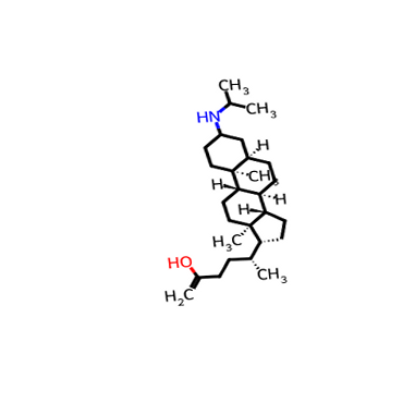 C=C(O)CC[C@@H](C)[C@H]1CC[C@H]2[C@@H]3CC[C@@H]4CC(NC(C)C)CC[C@]4(C)[C@H]3CC[C@]12C